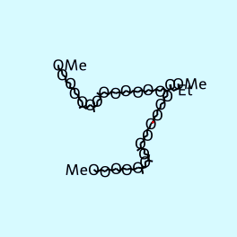 CCC(CC(=O)C(COCCOCCOCCOCCOCCOC(C)COCC(C)OCC(C)OCCOCCOCCOCCOC)OCCOCCOCCOCCOCCOC(C)COCC(C)OCC(C)OCCOCCOCCOCCOC)OC